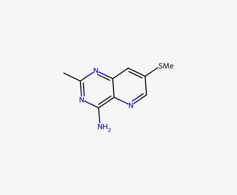 CSc1cnc2c(N)nc(C)nc2c1